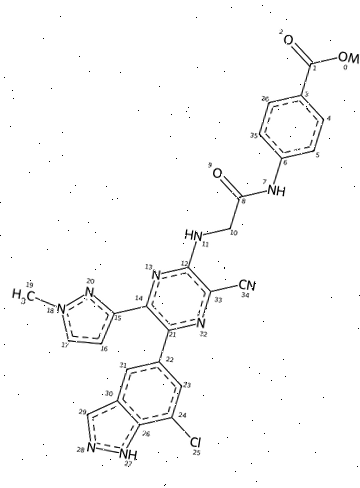 COC(=O)c1ccc(NC(=O)CNc2nc(-c3ccn(C)n3)c(-c3cc(Cl)c4[nH]ncc4c3)nc2C#N)cc1